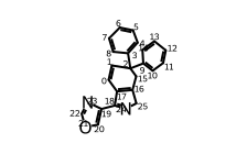 C1=CC(c2ccccc2)(c2ccccc2)CC2=C1C(c1cocn1)=NC2